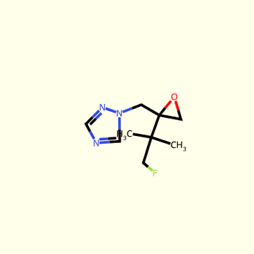 CC(C)(CF)C1(Cn2cncn2)CO1